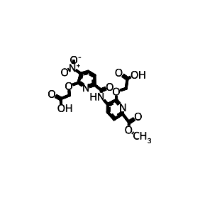 COC(=O)c1ccc(NC(=O)c2ccc([N+](=O)[O-])c(OCC(=O)O)n2)c(OCC(=O)O)n1